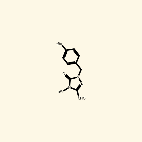 CCCn1c(C=O)nn(Cc2ccc(C(C)(C)C)cc2)c1=O